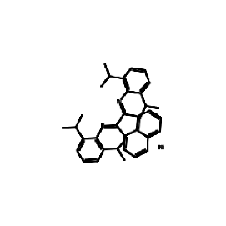 CC(C)c1cccc(C(C)C)c1N=C1C(=Nc2c(C(C)C)cccc2C(C)C)c2cccc3cccc1c23.[Ni]